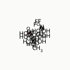 CCC[C@H](OC1C(NC(C)=O)[C@H](O[C@@H]2CC(CO[C@H]3OC(CO)[C@@H](O)C(n4cc(-c5cc(F)c(F)c(F)c5)nn4)C3O)CC(n3cc(-c4ccccc4)nn3)C2O[C@@H]2OC(C)[C@@H](O)C(O)C2O)OC(CO)[C@@H]1O)C(=O)O